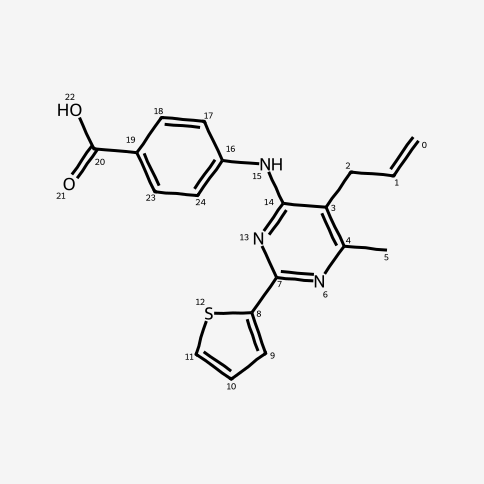 C=CCc1c(C)nc(-c2cccs2)nc1Nc1ccc(C(=O)O)cc1